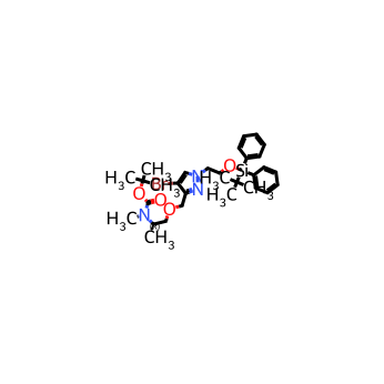 C[C@H](COCc1nn(CCO[Si](c2ccccc2)(c2ccccc2)C(C)(C)C)cc1Br)N(C)C(=O)OC(C)(C)C